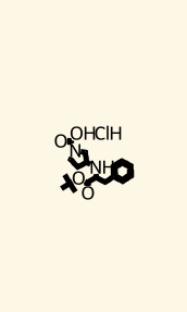 CC(C)(C)OC(=O)C(Cc1ccccc1)NC1CCN(C(=O)O)C1.Cl